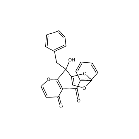 O=C(c1ccccc1)c1c(C(O)(Cc2ccccc2)C2=COCO2)occc1=O